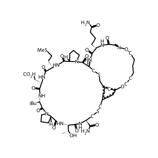 CC[C@H](C)[C@@H]1NC(=O)[C@H](CC(=O)O)NC(=O)[C@H](CCSC)NC(=O)[C@@H]2CCCN2C(=O)[C@@H]2CSCc3cc(cc(c3)OCCCCCCO/N=C/C(=O)N[C@@H](CCCC(N)=O)C(=O)N2)CSC[C@@H](C(N)=O)NC(=O)[C@H]([C@@H](C)O)NC(=O)[C@@H]2CCCN2C1=O